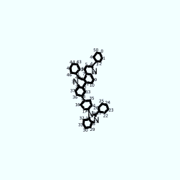 c1ccc(-c2ccc3c(ccc4c5cc(-c6ccc(-n7c(-c8ccccc8)nc8ccccc87)cc6)ccc5nc(-c5ccccc5)c34)n2)cc1